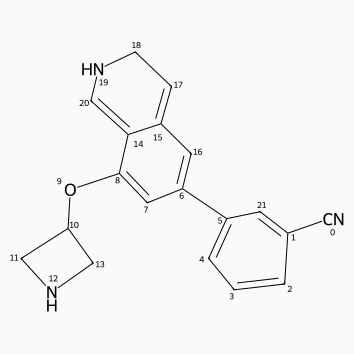 N#Cc1cccc(-c2cc(OC3CNC3)c3c(c2)=CCNC=3)c1